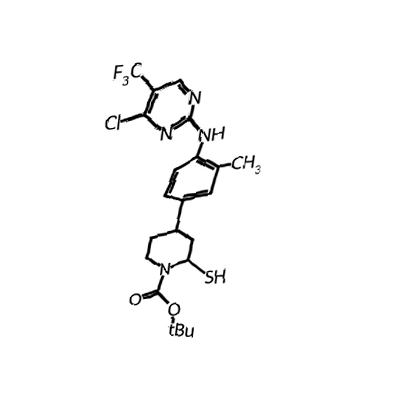 Cc1cc(C2CCN(C(=O)OC(C)(C)C)C(S)C2)ccc1Nc1ncc(C(F)(F)F)c(Cl)n1